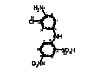 Nc1ccc(Nc2ccc([N+](=O)[O-])cc2S(=O)(=O)O)cc1Cl